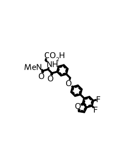 CNC(=O)C(NCC(=O)O)C(=O)c1cccc(COc2ccc(-c3cc(F)c(F)c4ccoc34)cc2)c1